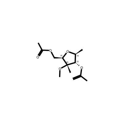 C=C(C)O[C@H]1[C@H](C)O[C@H](COC(C)=O)[C@@]1(C)OC